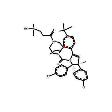 CCOc1cc(C(C)(C)C)ccc1C1=N[C@@](C)(c2ccc(Cl)cc2)[C@@](C)(c2ccc(Cl)cc2)N1C(=O)N1CCN(C(=O)CC[Si](C)(C)O)CC1